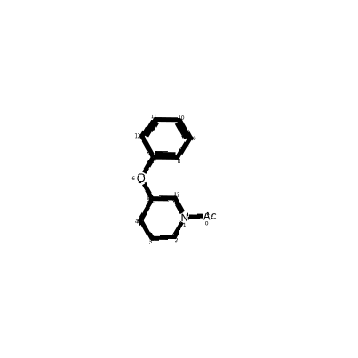 CC(=O)N1CCCC(Oc2ccccc2)C1